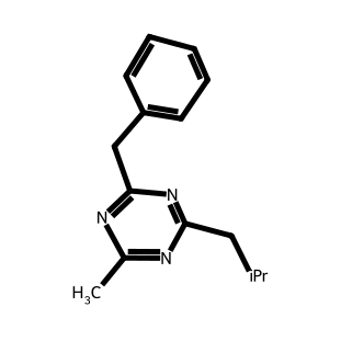 Cc1nc(Cc2ccccc2)nc(CC(C)C)n1